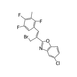 Cc1c(F)c(F)cc(C=C(CBr)c2nc3cc(Cl)ccc3o2)c1F